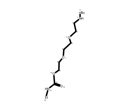 CCCCNCCOCCOCCOC(=O)NCC